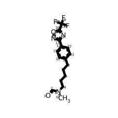 CN(C=O)CCCCCc1ccc(-c2noc(C(F)(F)F)n2)cc1